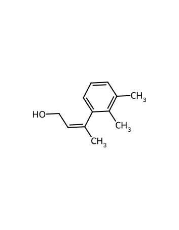 C/C(=C/CO)c1cccc(C)c1C